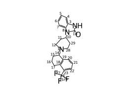 O=c1[nH]c2ccccc2n1C1CCN(C2CCCc3c2cccc3C(F)(F)F)CC1